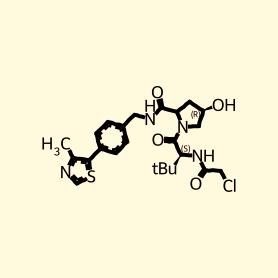 Cc1ncsc1-c1ccc(CNC(=O)C2C[C@@H](O)CN2C(=O)[C@@H](NC(=O)CCl)C(C)(C)C)cc1